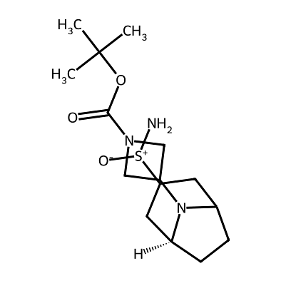 CC(C)(C)OC(=O)N1CC(N2C3CC[C@H]2CC([S+](N)[O-])C3)C1